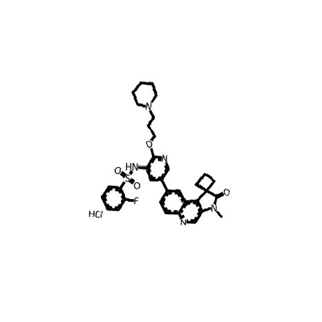 CN1C(=O)C2(CCC2)c2c1cnc1ccc(-c3cnc(OCCCN4CCCCC4)c(NS(=O)(=O)c4ccccc4F)c3)cc21.Cl